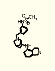 CS(=O)(=O)Nc1cccc(CN2CC3CC(Nc4cccc5cnccc45)C2C3)c1